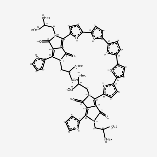 CCCCCCCCC(CCCCCC)CN1C(=O)C2=C(c3ccc(-c4ccc(-c5ccc(-c6ccc(-c7ccc(C8=C9C(=O)N(CC(CCCCCC)CCCCCCCC)C(c%10ccco%10)=C9C(=O)N8CC(CCCCCC)CCCCCCCC)o7)s6)s5)s4)o3)N(CC(CCCCCC)CCCCCCCC)C(=O)C2=C1c1ccco1